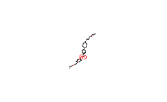 CCCCCCC1CC=C(c2ccc(C(=O)Oc3ccc(CCCC)cc3)cc2)CC1